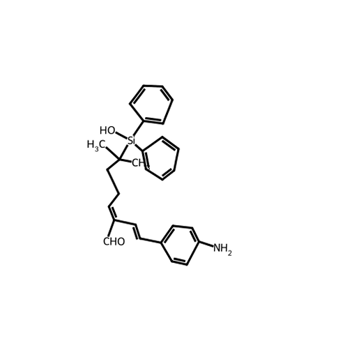 CC(C)(CC/C=C(C=O)\C=C\c1ccc(N)cc1)[Si](O)(c1ccccc1)c1ccccc1